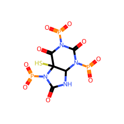 O=C1N(P(=O)=O)C(=O)C2(S)C(NC(=O)N2P(=O)=O)N1P(=O)=O